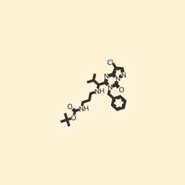 CC(C)C(NCCCNC(=O)OC(C)(C)C)c1nc2c(Cl)cnn2c(=O)n1Cc1ccccc1